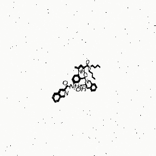 CCCCN(CCCC)C(=O)c1cc(C)n(-c2ccc(NC(=O)c3cc4ccccc4cn3)cc2C(=O)N2Cc3ccccc3C[C@H]2CO)n1